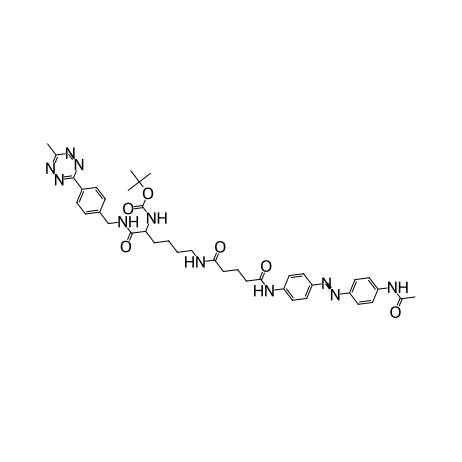 CC(=O)Nc1ccc(N=Nc2ccc(NC(=O)CCCC(=O)NCCCCC(NC(=O)OC(C)(C)C)C(=O)NCc3ccc(-c4nnc(C)nn4)cc3)cc2)cc1